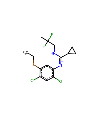 CC(F)(F)CN/C(=N\c1cc(SCC(F)(F)F)c(Cl)cc1Cl)C1CC1